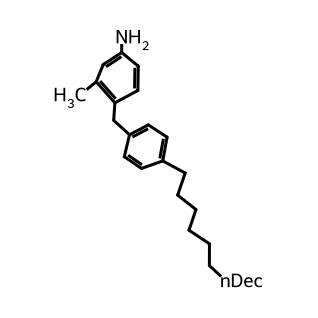 CCCCCCCCCCCCCCCCc1ccc(Cc2ccc(N)cc2C)cc1